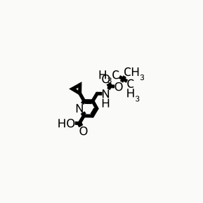 CC(C)(C)OC(=O)NCc1ccc(C(=O)O)nc1C1CC1